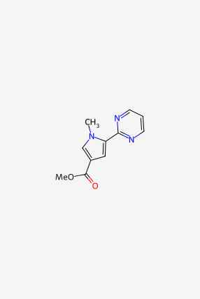 COC(=O)c1cc(-c2ncccn2)n(C)c1